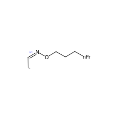 [CH2]/C=N\OCCCCCC